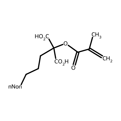 C=C(C)C(=O)OC(CCCCCCCCCCCC)(C(=O)O)C(=O)O